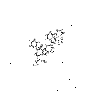 CN(C)C=C(C#N)C(=O)c1cc2ccc(CO[Si](c3ccccc3)(c3ccccc3)C(C)(C)C)cc2n1S(=O)(=O)c1ccccc1